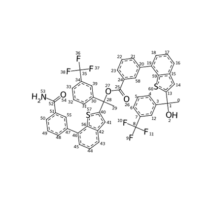 CC(O)(c1cccc(C(F)(F)F)c1)c1cc2cccc(-c3cccc(C(=O)OC(C)(c4cccc(C(F)(F)F)c4)c4cc5cccc(-c6cccc(C(N)=O)c6)c5s4)c3)c2s1